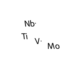 [Mo].[Nb].[Ti].[V]